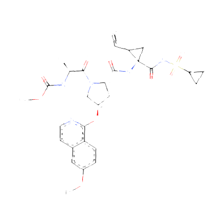 C=CC1C[C@]1(NC(=O)[C@@H]1C[C@@H](Oc2nccc3cc(OC(C)C)ccc23)CN1C(=O)[C@@H](NC(=O)OC(C)(C)C)C(C)(C)C)C(=O)NS(=O)(=O)C1CC1